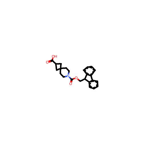 O=C(O)C1CC2(CCN(C(=O)OCC3c4ccccc4-c4ccccc43)CC2)C1